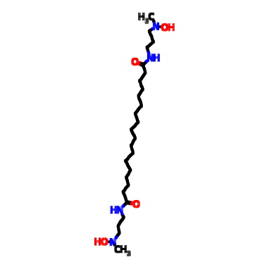 CN(O)CCCNC(=O)CCCCCCCCCCCCCCCCC(=O)NCCCN(C)O